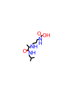 CC(C)CNC(=O)C(C)NCCCNC(=O)O